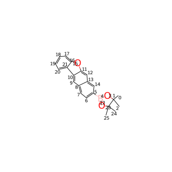 CC1(C)OB(c2ccc3cc4c(cc3c2)oc2ccccc24)OC1(C)C